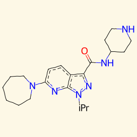 CC(C)n1nc(C(=O)NC2CCNCC2)c2ccc(N3CCCCCC3)nc21